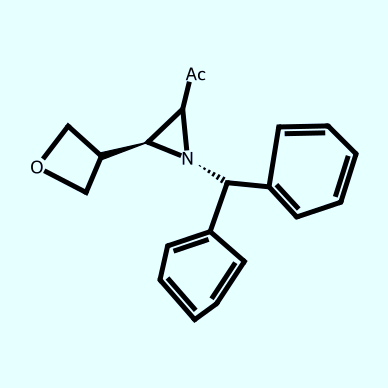 CC(=O)C1[C@H](C2COC2)[N@@]1C(c1ccccc1)c1ccccc1